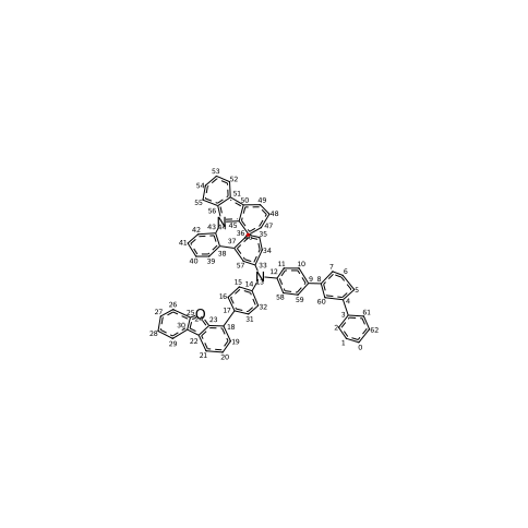 c1ccc(-c2cccc(-c3ccc(N(c4ccc(-c5cccc6c5oc5ccccc56)cc4)c4cccc(-c5ccccc5-n5c6ccccc6c6ccccc65)c4)cc3)c2)cc1